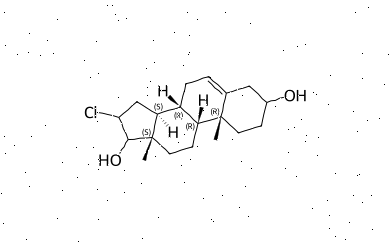 C[C@]12CCC(O)CC1=CC[C@@H]1[C@H]2CC[C@]2(C)C(O)C(Cl)C[C@@H]12